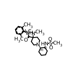 Cc1cccc(C)c1NC(=O)C1(N(C)C)CCN([C@@H]2CCCC[C@H]2NS(C)(=O)=O)CC1